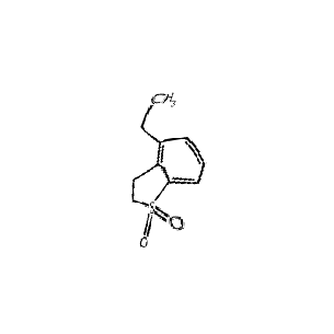 CCc1cccc2c1CCS2(=O)=O